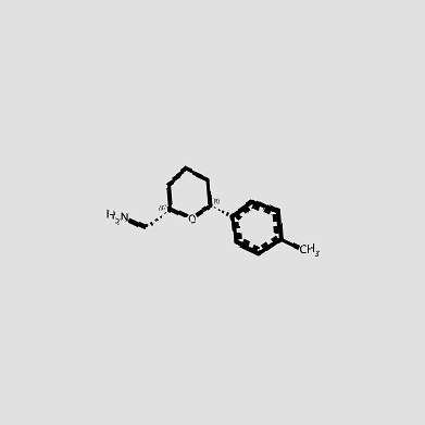 Cc1ccc([C@H]2CCC[C@@H](CN)O2)cc1